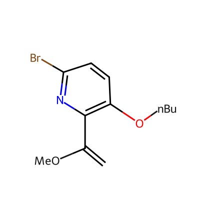 C=C(OC)c1nc(Br)ccc1OCCCC